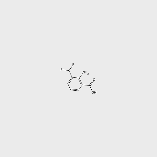 Nc1c(C(=O)O)cccc1C(F)F